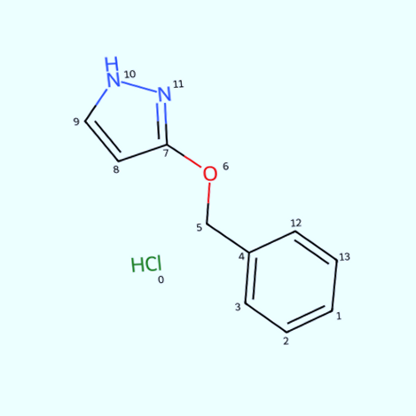 Cl.c1ccc(COc2cc[nH]n2)cc1